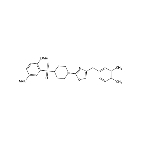 COc1ccc(OC)c(S(=O)(=O)C2CCN(c3nc(Cc4ccc(C)c(C)c4)cs3)CC2)c1